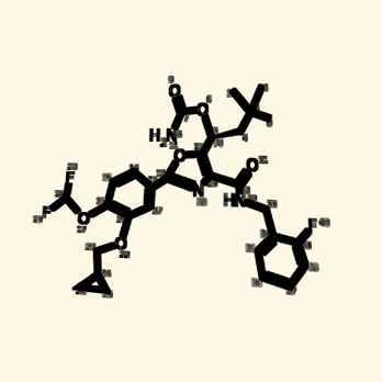 CC(C)(C)C[C@H](OC(N)=O)c1oc(-c2ccc(OC(F)F)c(OCC3CC3)c2)nc1C(=O)NCc1ccccc1F